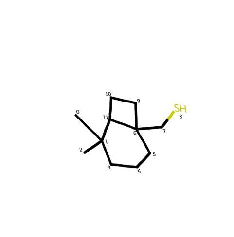 CC1(C)CCCC2(CS)CCC12